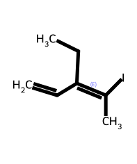 C=C/C(CC)=C(\C)I